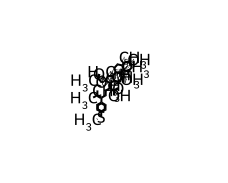 CSc1ccc(C(CCC(C(=O)O)=C2[C@@H](OC(C)=O)C[C@@]3(C)[C@@H]2C[C@@H](O)[C@@H]2[C@@]4(C)CC[C@@H](O)[C@@H](C)C4CC[C@@]23C)=C(C)C)cc1